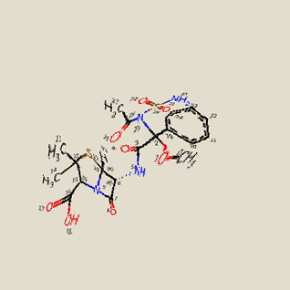 COC(C(=O)N[C@@H]1C(=O)N2[C@@H]1SC(C)(C)[C@@H]2C(=O)O)(c1ccccc1)N(C(C)=O)S(N)(=O)=O